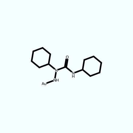 O=C(NC1CCCCC1)N([NH][Au])C1CCCCC1